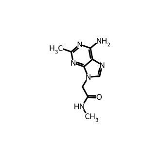 CNC(=O)Cn1cnc2c(N)nc(C)nc21